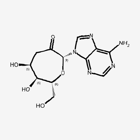 Nc1ncnc2c1ncn2[C@@H]1O[C@H](CO)[C@@H](O)[C@@H](O)CC1=O